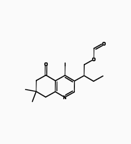 CCC(COC=O)c1cnc2c(c1I)C(=O)CC(C)(C)C2